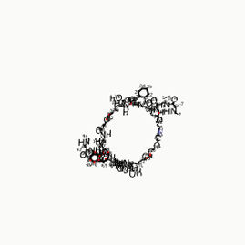 CC[C@H](NC(=O)[C@H](C)NC)C(=O)N1C[C@@H]2C[C@H]1C(=O)N1Cc3ccccc3C[C@H]1C(=O)N[C@H](C(=O)O)Cc1ccc(cc1)C(=O)N[C@H]1C[C@@H](C(=O)N[C@@H](Cc3ccc4ccccc4c3)C(=O)N[C@H](C(=O)O)Cc3ccc(cc3)OC/C=C/CO2)N(C(=O)[C@@H](NC(=O)[C@H](C)NC)C(C)(C)C)C1